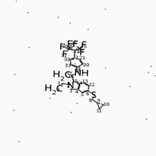 C=CN1Cc2cc(SCC3CC3)ccc2C1C(=C)Nc1ccc(C(C(F)(F)F)C(F)(F)F)cc1